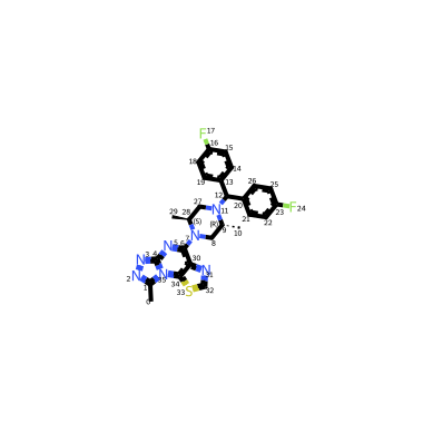 Cc1nnc2nc(N3C[C@@H](C)N(C(c4ccc(F)cc4)c4ccc(F)cc4)C[C@@H]3C)c3ncsc3n12